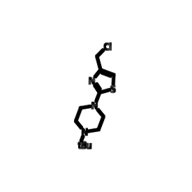 CC(C)(C)N1CCN(c2nc(CCl)cs2)CC1